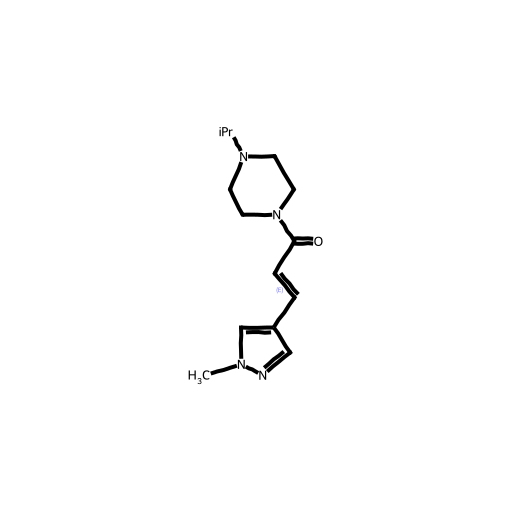 CC(C)N1CCN(C(=O)/C=C/c2cnn(C)c2)CC1